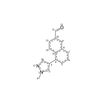 Cn1cc(-c2cccc3cc(C=O)ccc23)cn1